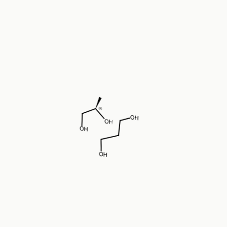 C[C@@H](O)CO.OCCCO